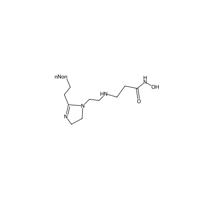 CCCCCCCCCCCC1=NCCN1CCNCCC(=O)NO